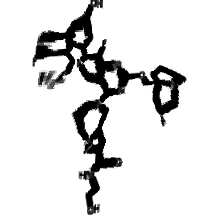 CCc1c(F)ccc2cc(O)cc(-c3ncc4c(N5CCCn6nc(C(=O)NCCO)cc6C5)nc(OC[C@@]56CCCN5C[C@H](F)C6)nc4c3F)c12